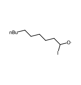 CCCCCCCCCC([O])I